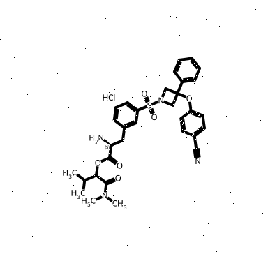 CC(C)C(OC(=O)[C@@H](N)Cc1cccc(S(=O)(=O)N2CC(Oc3ccc(C#N)cc3)(c3ccccc3)C2)c1)C(=O)N(C)C.Cl